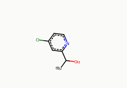 CC(C)(C)C(O)c1cc(Cl)ccn1